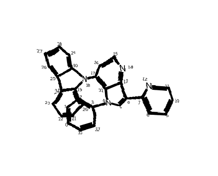 c1ccc(-n2cc(-c3ccccn3)c3nccc(-n4c5ccccc5c5ccccc54)c32)cc1